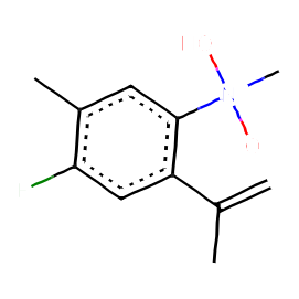 C=C(C)c1cc(F)c(C)cc1[N+](C)([O-])O